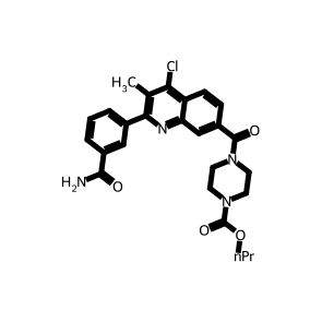 CCCOC(=O)N1CCN(C(=O)c2ccc3c(Cl)c(C)c(-c4cccc(C(N)=O)c4)nc3c2)CC1